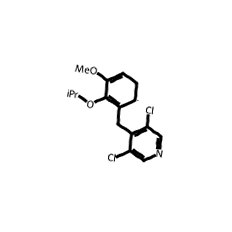 COC1=CC[CH]C(Cc2c(Cl)cncc2Cl)=C1OC(C)C